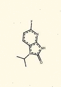 CC(C)n1c(=O)[nH]c2nc(F)ccc21